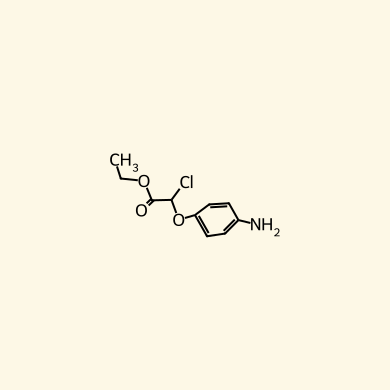 CCOC(=O)C(Cl)Oc1ccc(N)cc1